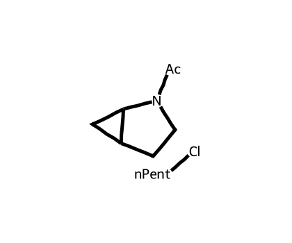 CC(=O)N1CCC2CC21.CCCCCCl